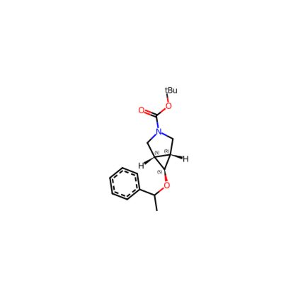 CC(O[C@H]1[C@@H]2CN(C(=O)OC(C)(C)C)C[C@@H]21)c1ccccc1